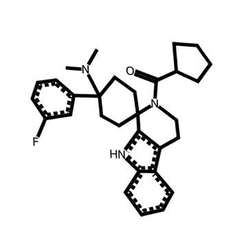 CN(C)C1(c2cccc(F)c2)CCC2(CC1)c1[nH]c3ccccc3c1CCN2C(=O)C1CCCC1